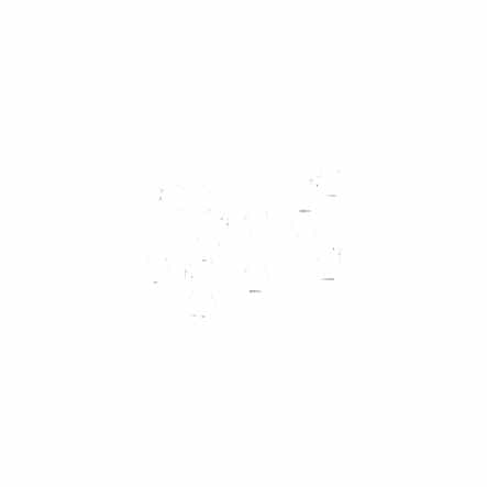 c1ccc(B2c3cc(-c4cc(-c5ccccn5)cc(-c5ccccn5)c4)ccc3-n3c4ccc5ccccc5c4c4cc(N(c5ccccc5)c5ccccc5)cc2c43)cc1